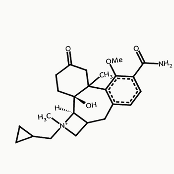 COc1c(C(N)=O)ccc2c1C1(C)CC(=O)CC[C@@]1(O)[C@H]1C(C2)C[N+]1(C)CC1CC1